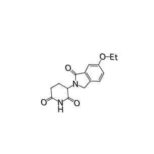 CCOc1ccc2c(c1)C(=O)N(C1CCC(=O)NC1=O)C2